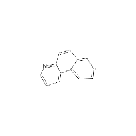 [c]1ccc2c(c1)ccc1ncccc12